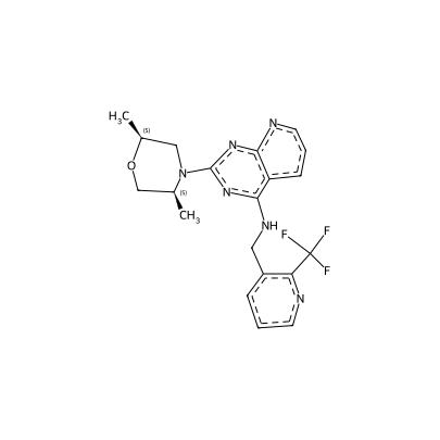 C[C@H]1CN(c2nc(NCc3cccnc3C(F)(F)F)c3cccnc3n2)[C@@H](C)CO1